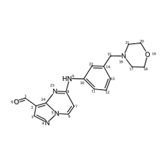 O=Cc1cnn2ccc(Nc3cccc(CN4CCOCC4)c3)nc12